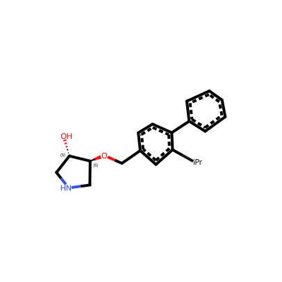 CC(C)c1cc(CO[C@H]2CNC[C@@H]2O)ccc1-c1ccccc1